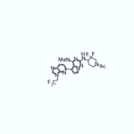 CNc1nc(NC2CCN(C(C)=O)CC2(F)F)nn2ccc(-c3ccc4ncn(CC(F)(F)F)c4n3)c12